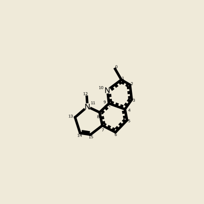 Cc1ccc2ccc3c(c2n1)N(C)CC=C3